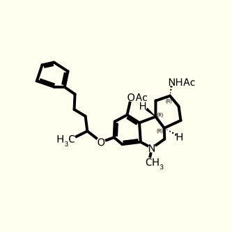 CC(=O)N[C@@H]1CC[C@H]2CN(C)c3cc(OC(C)CCCc4ccccc4)cc(OC(C)=O)c3[C@@H]2C1